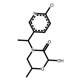 CC1CN(C(C)c2ccc(Cl)nc2)C(=O)C(O)O1